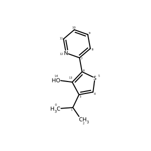 CC(C)c1csc(-c2ccccn2)c1O